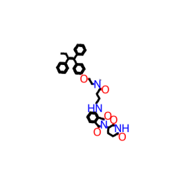 CCC(=C(c1ccccc1)c1ccc(OCCN(C)C(=O)CCCNc2cccc3c2C(=O)N(C2CCC(=O)NC2=O)C3=O)cc1)c1ccccc1